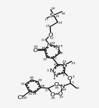 CC(Oc1nnc(-c2cnn(COCC[Si](C)(C)C)c(=O)c2)n1C)N1OOC(c2cccc(Cl)c2)O1